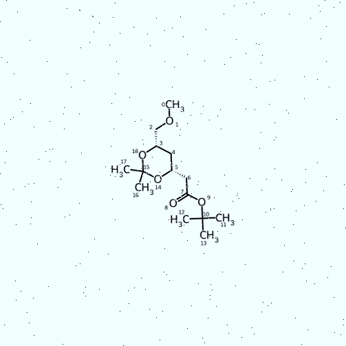 COC[C@@H]1C[C@H](CC(=O)OC(C)(C)C)OC(C)(C)O1